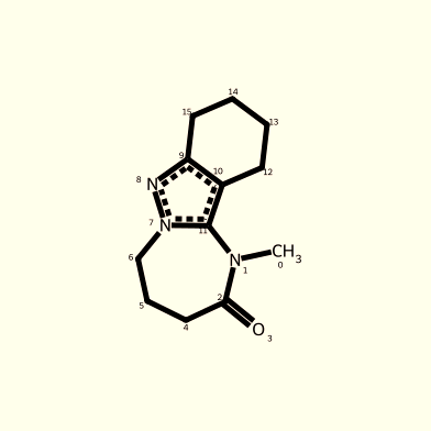 CN1C(=O)CCCn2nc3c(c21)CCCC3